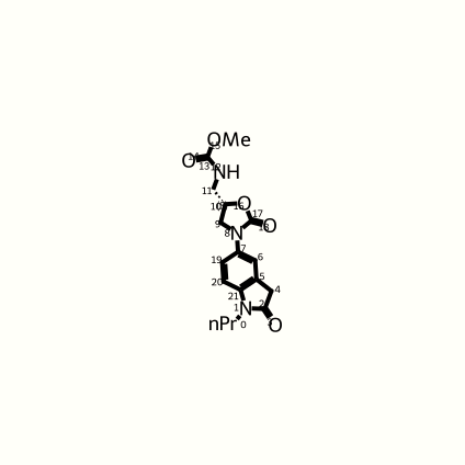 CCCN1C(=O)Cc2cc(N3C[C@H](CNC(=O)OC)OC3=O)ccc21